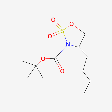 CCCCC1COS(=O)(=O)N1C(=O)OC(C)(C)C